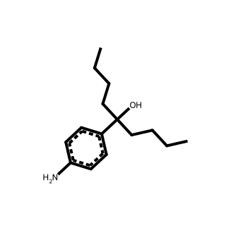 CCCCC(O)(CCCC)c1ccc(N)cc1